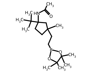 CC(=O)NC1(C(C)(C)C)CCC(C)(CCB2OC(C)(C)C(C)(C)O2)C1